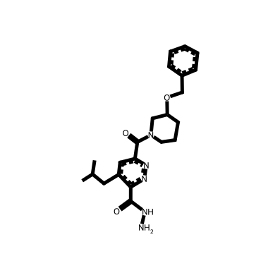 CC(C)Cc1cc(C(=O)N2CCCC(OCc3ccccc3)C2)nnc1C(=O)NN